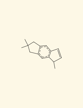 C[C]1C=Cc2cc3c(cc21)CC(C)(C)C3